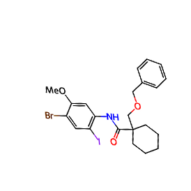 COc1cc(NC(=O)C2(COCc3ccccc3)CCCCC2)c(I)cc1Br